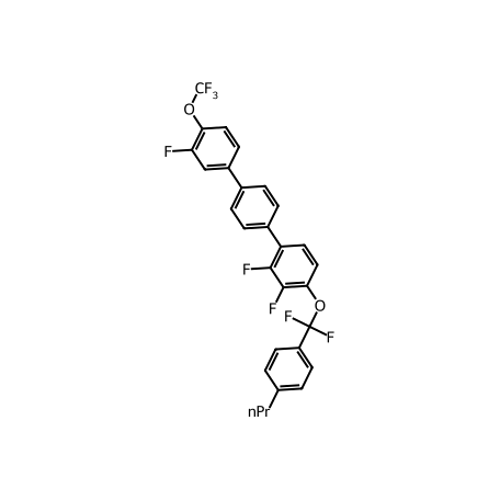 CCCc1ccc(C(F)(F)Oc2ccc(-c3ccc(-c4ccc(OC(F)(F)F)c(F)c4)cc3)c(F)c2F)cc1